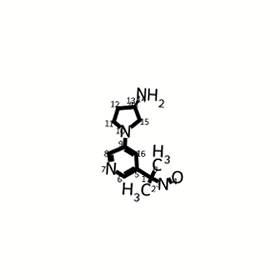 CC(C)(N=O)c1cncc(N2CC[C@@H](N)C2)c1